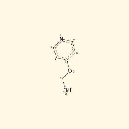 OCOc1ccncc1